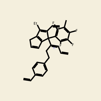 C=C/C=C(\CCc1ccc(C=C)cc1)C1(c2c(F)c(C)c(F)c(F)c2F)C(C=C)=C(CC)C2=C1C=CC2